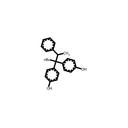 CCCCC(c1ccc(O)cc1)(c1ccc(O)cc1)C(C)c1ccccc1